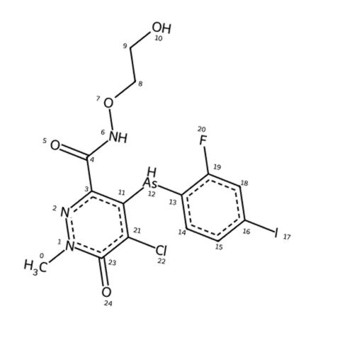 Cn1nc(C(=O)NOCCO)c([AsH]c2ccc(I)cc2F)c(Cl)c1=O